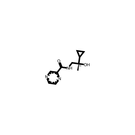 C[C@@](O)(CNC(=O)c1cnccn1)C1CC1